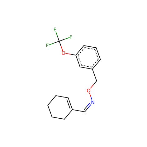 FC(F)(F)Oc1cccc(CO/N=[C]\C2=CCCCC2)c1